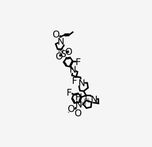 CC#CC(=O)N1CC[C@@H](S(=O)(=O)c2ccc(N3CC(F)(CN4CCC(C(CN5CCC5)(c5cccc(F)c5)[C@H]5CCC[C@@H]5NC(=O)OC)CC4)C3)c(F)c2)C1